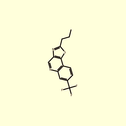 CCCc1nc2cnc3cc(C(F)(F)F)ccc3c2s1